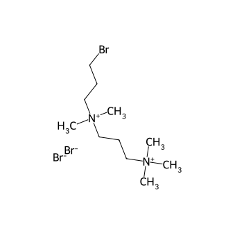 C[N+](C)(C)CCC[N+](C)(C)CCCBr.[Br-].[Br-]